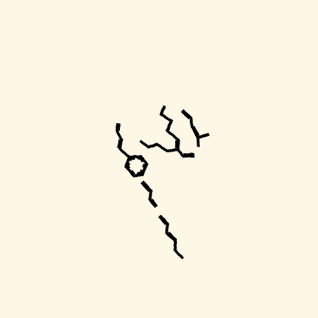 C=CC(=CCCCC)CCCC.C=CC=C.C=CC=C(C)C.C=CC=CCC.C=CC=Cc1ccccc1